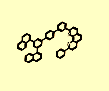 c1ccc(-c2ccc3ccc4ccc(-c5cccc(-c6ccc(-c7cc(-c8cccc9ccccc89)cc(-c8cccc9ccccc89)c7)cc6)c5)nc4c3n2)cc1